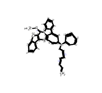 C=C/C=C\C=C/CN(c1ccccc1)c1ccc2c(c1)c1ccccc1n2/C(=N/C)c1oc2ccccc2c1N